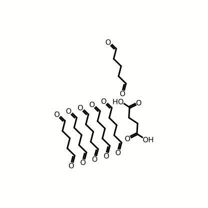 O=C(O)CCC(=O)O.O=CCCCC=O.O=CCCCC=O.O=CCCCC=O.O=CCCCC=O.O=CCCCC=O.O=CCCCC=O